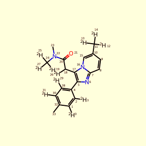 [2H]c1c([2H])c(-c2nc3ccc(C([2H])([2H])[2H])cn3c2C([2H])C(=O)N(C)C([2H])([2H])[2H])c([2H])c([2H])c1C